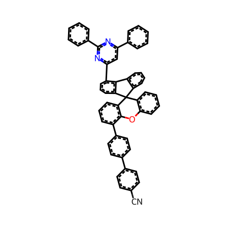 N#Cc1ccc(-c2ccc(-c3cccc4c3Oc3ccccc3C43c4ccccc4-c4c(-c5cc(-c6ccccc6)nc(-c6ccccc6)n5)cccc43)cc2)cc1